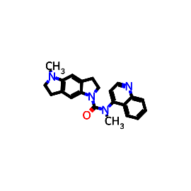 CN1CCc2cc3c(cc21)CCN3C(=O)N(C)c1ccnc2ccccc12